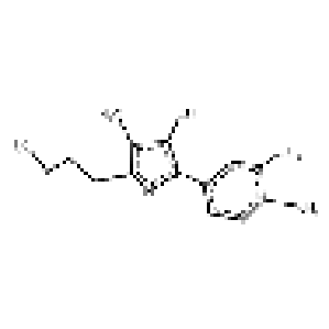 CCCCc1nn(-c2ccc(C)c(C)c2)c(O)c1C